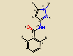 Cc1cccc(C)c1C(=O)Nc1cc(C)n(C)n1